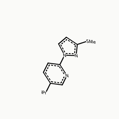 CSc1ccn(-c2ccc(C(C)C)cn2)n1